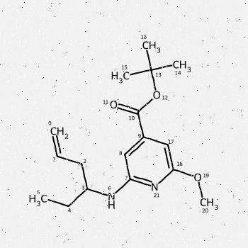 C=CCC(CC)Nc1cc(C(=O)OC(C)(C)C)cc(OC)n1